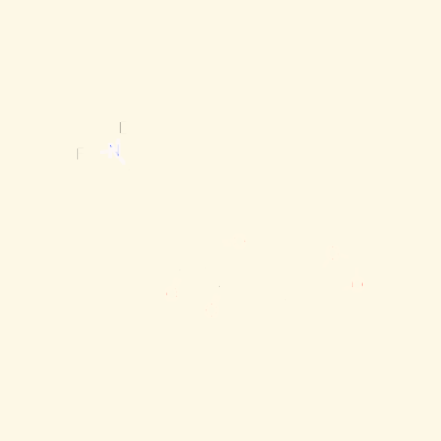 CCN(CC)c1ccc(C2CC(=O)C(C(=O)CCc3ccc4c(c3)OCO4)C(=O)C2)cc1